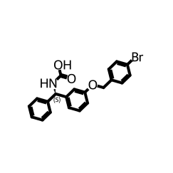 O=C(O)N[C@@H](c1ccccc1)c1cccc(OCc2ccc(Br)cc2)c1